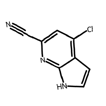 N#Cc1cc(Cl)c2cc[nH]c2n1